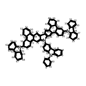 c1ccc(-n2c3ccccc3c3cc(-n4c5cc6c7ccc(-n8c9ccccc9c9ccccc98)cc7c7ccccc7c6cc5c5cc6c7ccccc7c7cc(-n8c9ccccc9c9ccccc98)ccc7c6cc54)ccc32)cc1